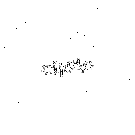 O=C(Nc1ccc2nc(N[C@@H]3CCc4ccccc43)ccc2c1)N(S)C(=O)c1ccccc1